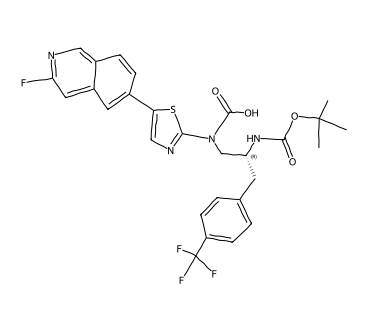 CC(C)(C)OC(=O)N[C@H](Cc1ccc(C(F)(F)F)cc1)CN(C(=O)O)c1ncc(-c2ccc3cnc(F)cc3c2)s1